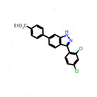 CCOC(=O)c1ccc(-c2ccc3c(-c4ccc(Cl)cc4Cl)n[nH]c3c2)cc1